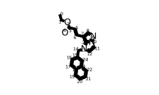 CCOC(=O)C=Cc1cnn2ccn(Cc3ccc4ccccc4c3)c12